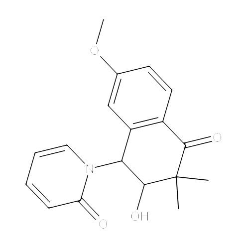 COc1ccc2c(c1)C(n1ccccc1=O)C(O)C(C)(C)C2=O